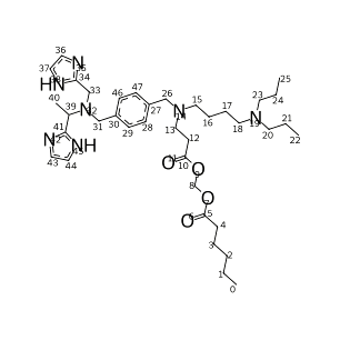 CCCCCC(=O)OCOC(=O)CCN(CCCCN(CCC)CCC)Cc1ccc(CN(Cc2ncc[nH]2)C(C)c2ncc[nH]2)cc1